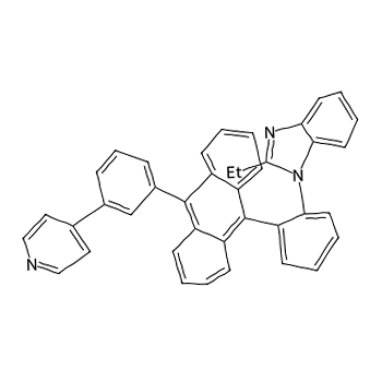 CCc1nc2ccccc2n1-c1ccccc1-c1c2ccccc2c(-c2cccc(-c3ccncc3)c2)c2ccccc12